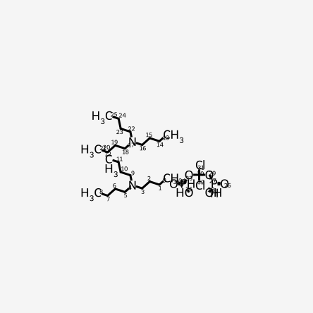 CCCCN(CCCC)CCCC.CCCCN(CCCC)CCCC.O=[PH](O)OC(Cl)(Cl)O[PH](=O)O